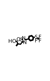 C=C(Cc1nc(-c2ccc(SC(F)(F)F)cc2)no1)C(=O)O